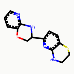 c1cnc2c(c1)OCC(c1ccc3c(n1)NCCS3)N2